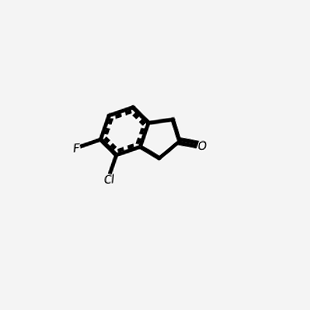 O=C1Cc2ccc(F)c(Cl)c2C1